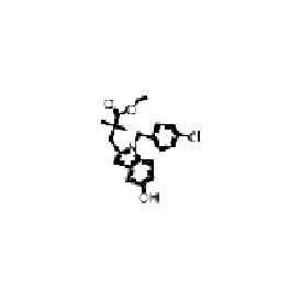 CCOC(=O)C(C)(C)Cc1cc2cc(O)ccc2n1Cc1ccc(Cl)cc1